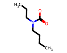 CCCCN(CCC)C([O])=O